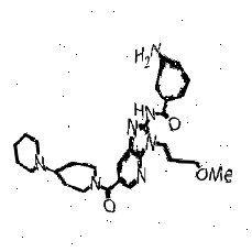 COCCCn1c(NC(=O)c2cccc(N)c2)nc2cc(C(=O)N3CCC(N4CCCCC4)CC3)cnc21